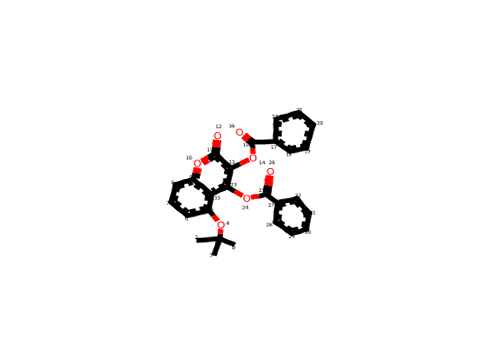 CC(C)(C)Oc1cccc2oc(=O)c(OC(=O)c3ccccc3)c(OC(=O)c3ccccc3)c12